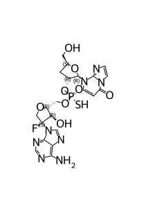 Nc1ncnc2c1ncn2[C@]1(F)CO[C@H](COP(=O)(S)O[C@@H]2C[C@@H](CO)O[C@H]2n2ccc(=O)n3ccnc23)[C@H]1O